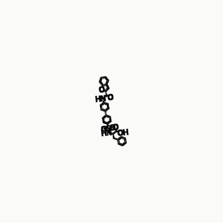 O=C(Nc1ccc(-c2ccc(S(=O)(=O)N[C@H](Cc3ccccc3)C(=O)O)cc2)cc1)c1cc2ccccc2o1